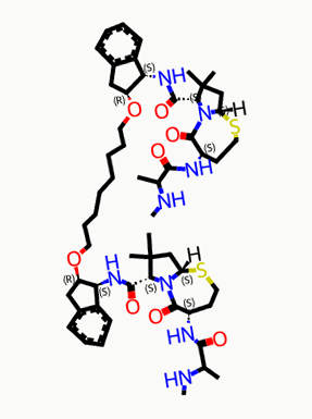 CNC(C)C(=O)N[C@H]1CCS[C@H]2CC(C)(C)[C@@H](C(=O)N[C@H]3c4ccccc4C[C@H]3OCCCCCCCCO[C@@H]3Cc4ccccc4[C@@H]3NC(=O)[C@H]3N4C(=O)[C@@H](NC(=O)C(C)NC)CCS[C@H]4CC3(C)C)N2C1=O